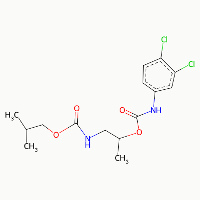 CC(C)COC(=O)NCC(C)OC(=O)Nc1ccc(Cl)c(Cl)c1